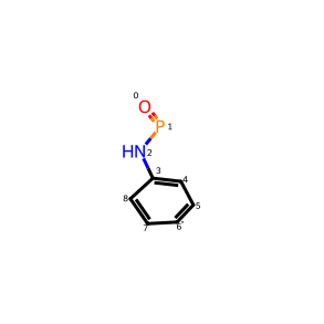 O=PNc1cc[c]cc1